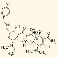 CCN(C)c1cc(CNCc2ccc(Cl)cc2)c(O)c2c1C[C@H]1C[C@H]3[C@H](N(C)C)C(O)=C(C(N)=O)C(=O)[C@@]3(O)C(O)=C1C2=O